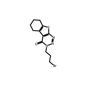 O=c1c2c3c(sc2nnn1CCCBr)CCCC3